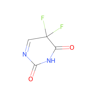 O=C1N=CC(F)(F)C(=O)N1